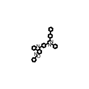 c1ccc(-c2ccc(-c3cc(-c4ccc(-c5nc6ccccc6c6c5ccc5oc(-c7ccccc7)nc56)cc4)nc(-c4ccccc4)n3)cc2)cc1